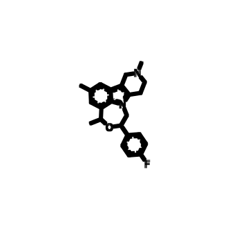 Cc1cc2c3c(c1)c1c(n3CC(c3ccc(F)cc3)OC2C)CCN(C)C1